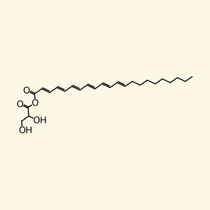 CCCCCCCCC/C=C/C=C/C=C/C=C/C=C/C=C/C(=O)OC(=O)C(O)CO